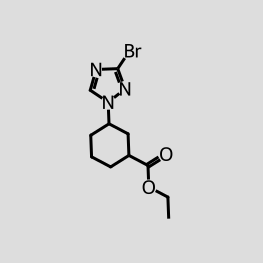 CCOC(=O)C1CCCC(n2cnc(Br)n2)C1